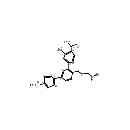 CCNCCCc1ccc(-c2ccc(C(=O)OCC)cc2)cc1-c1ccc(N(CC)CC)c(C(C)(C)C)c1